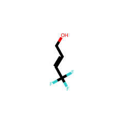 OCC=CC(F)(F)F